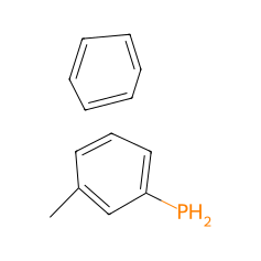 Cc1cccc(P)c1.c1ccccc1